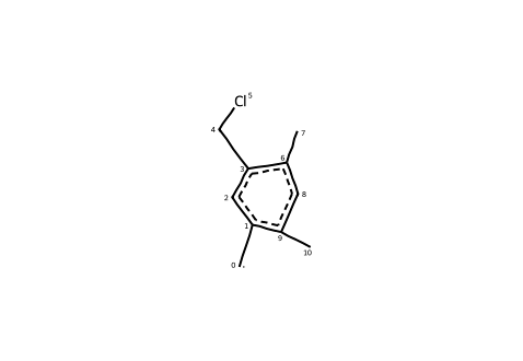 [CH2]c1cc(CCl)c(C)cc1C